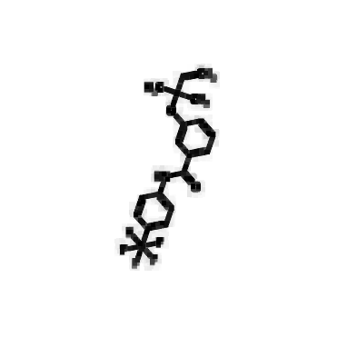 C=CC(C)(C)Oc1cccc(C(=O)Nc2ccc(S(F)(F)(F)(F)F)cc2)c1